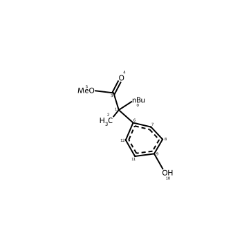 CCCCC(C)(C(=O)OC)c1ccc(O)cc1